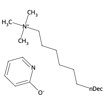 CCCCCCCCCCCCCCCC[N+](C)(C)C.[O-]c1ccccn1